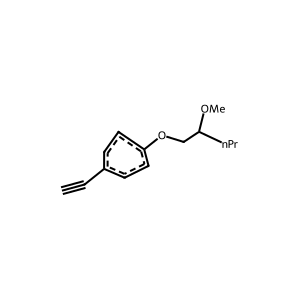 C#Cc1ccc(OCC(CCC)OC)cc1